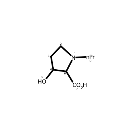 CCCN1CCC(O)C1C(=O)O